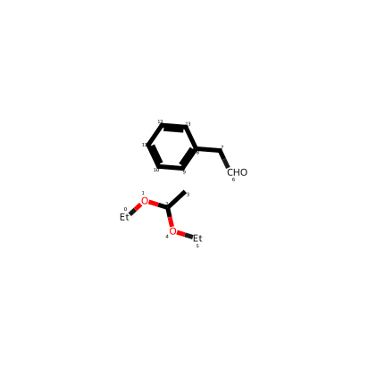 CCOC(C)OCC.O=CCc1ccccc1